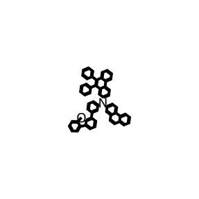 c1ccc(-c2c(-c3ccccc3)c3cc(N(c4cccc(-c5cccc6c5oc5ccccc56)c4)c4ccc5c(ccc6ccccc65)c4)ccc3c3ccccc23)cc1